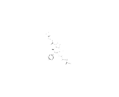 CC(C)(C)OC(=O)NCC(=O)N1CCC[C@H]1C(=O)N(c1ccccc1)[C@H](C=O)CCCNC(=N)N